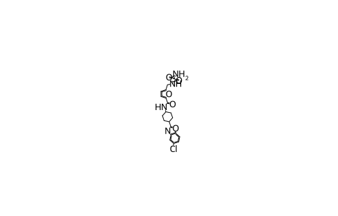 NS(=O)(=O)NCc1ccc(C(=O)NC2CCC(c3nc4cc(Cl)ccc4o3)CC2)o1